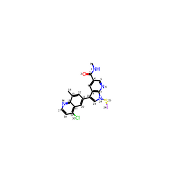 CNC(=O)c1cnc2c(c1)c(-c1cc(C)c3nccc(Cl)c3c1)cn2SI